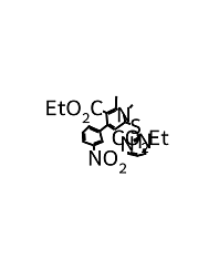 CCOC(=O)C1=C(C)N(C)C(Sc2ncccn2)C(C(=O)OCC)=C1c1cccc([N+](=O)[O-])c1